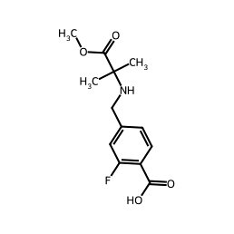 COC(=O)C(C)(C)NCc1ccc(C(=O)O)c(F)c1